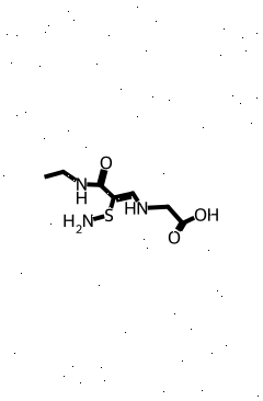 CCNC(=O)/C(=C/NCC(=O)O)SN